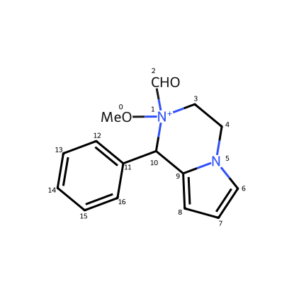 CO[N+]1(C=O)CCn2cccc2C1c1ccccc1